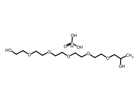 CC(O)COCCOCCOCCOCCOCCO.O=[PH](O)O